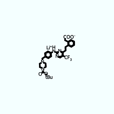 CC(C)(C)OC(=O)N1CCN(Cc2ccc(Nc3ncc(C(F)(F)F)c(CCc4ccccc4CC(=O)[O-])n3)cc2)CC1.[Li+]